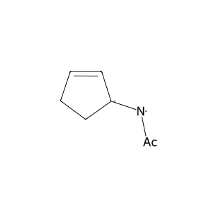 CC(=O)[N][C]1C=CCC1